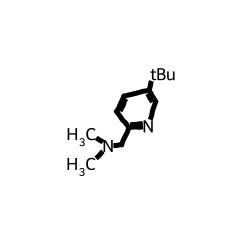 CN(C)Cc1ccc(C(C)(C)C)cn1